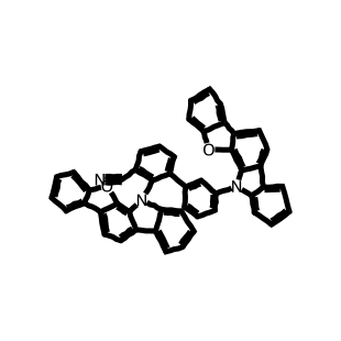 N#Cc1cccc(-c2cccc(-n3c4ccccc4c4ccc5c6ccccc6oc5c43)c2)c1-n1c2ccccc2c2ccc3c4ccccc4oc3c21